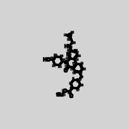 CC(C)(C)OC(=O)C1CCN(Cc2ccc3c(c2)c(=O)n([C@H]2CC[C@H](O)CC2)c2nc(NCC4CC4)ncc32)CC1